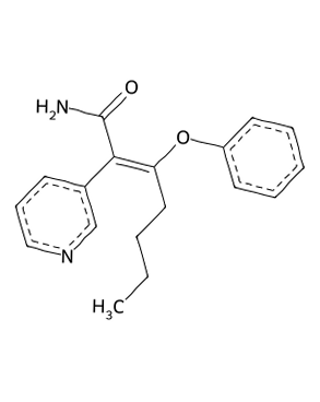 CCCCC(Oc1ccccc1)=C(C(N)=O)c1cccnc1